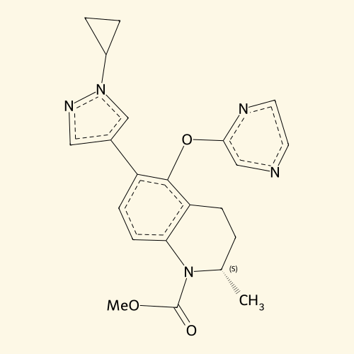 COC(=O)N1c2ccc(-c3cnn(C4CC4)c3)c(Oc3cnccn3)c2CC[C@@H]1C